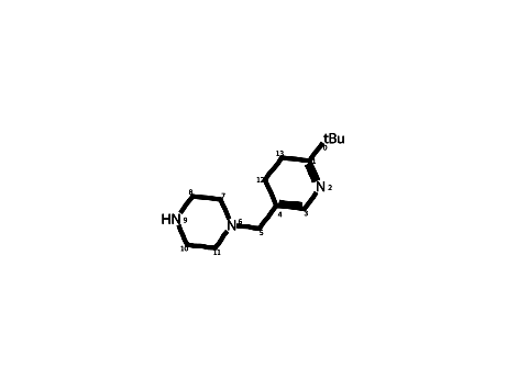 CC(C)(C)C1=NC=C(CN2CCNCC2)CC1